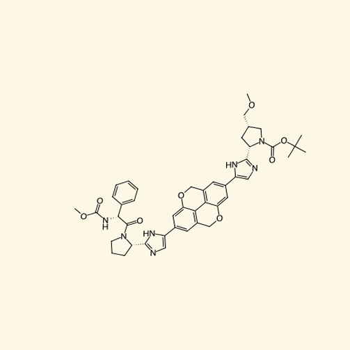 COC[C@H]1C[C@@H](c2ncc(-c3cc4c5c(c3)OCc3cc(-c6cnc([C@@H]7CCCN7C(=O)[C@H](NC(=O)OC)c7ccccc7)[nH]6)cc(c3-5)OC4)[nH]2)N(C(=O)OC(C)(C)C)C1